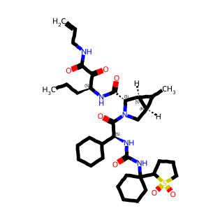 C=CCNC(=O)C(=O)[C@H](CCC)NC(=O)[C@@H]1[C@H]2C(C)[C@H]2CN1C(=O)[C@@H](NC(=O)NC1(C2CCCS2(=O)=O)CCCCC1)C1CCCCC1